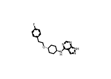 Fc1ccc(CCO[C@H]2CC[C@H](Nc3ncnc4[nH]ncc34)CC2)cc1